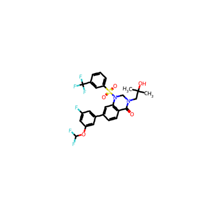 CC(C)(O)CN1CN(S(=O)(=O)c2cccc(C(F)(F)F)c2)c2cc(-c3cc(F)cc(OC(F)F)c3)ccc2C1=O